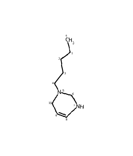 CCCCCN1[C]NC=CC1